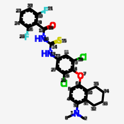 CN(C)c1ccc(Oc2c(Cl)cc(NC(=S)NC(=O)c3c(F)cccc3F)cc2Cl)c2c1CCCC2